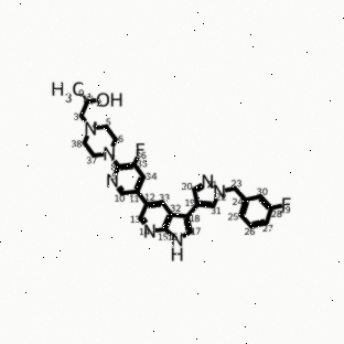 C[C@H](O)CN1CCN(c2ncc(-c3cnc4[nH]cc(-c5cnn(Cc6cccc(F)c6)c5)c4c3)cc2F)CC1